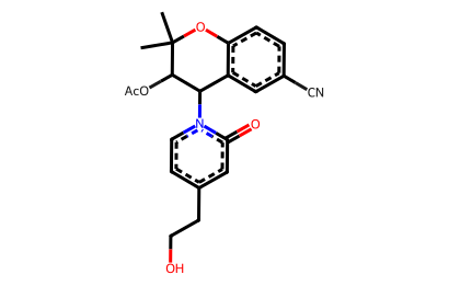 CC(=O)OC1C(n2ccc(CCO)cc2=O)c2cc(C#N)ccc2OC1(C)C